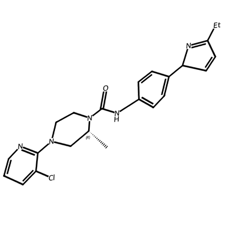 CCC1=NC(c2ccc(NC(=O)N3CCN(c4ncccc4Cl)C[C@H]3C)cc2)C=C1